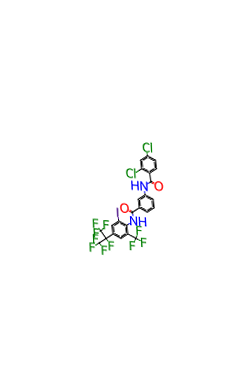 O=C(Nc1c(I)cc(C(F)(C(F)(F)F)C(F)(F)F)cc1C(F)(F)F)c1cccc(NC(=O)c2ccc(Cl)cc2Cl)c1